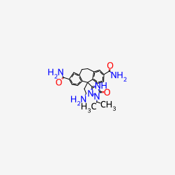 CC(C)n1nc(C2(CCN)c3ccc(C(N)=O)cc3CCc3cc(C(N)=O)ccc32)[nH]c1=O